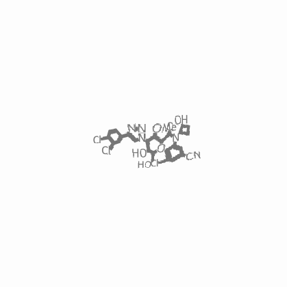 COC1C(C(=O)N(c2cc(Cl)cc(C#N)c2)[C@@H]2CC[C@H]2O)OC(CO)C(O)C1n1cc(-c2ccc(Cl)c(Cl)c2)nn1